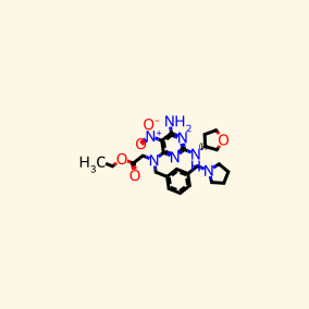 CCOC(=O)CN(Cc1cccc(CN2CCCC2)c1)c1nc(N[C@@H]2CCOC2)nc(N)c1[N+](=O)[O-]